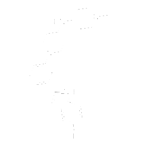 CC(C)N1CCC(NC2CCN(c3cccc(-c4cc5cc(F)ccc5[nH]4)c3)CC2)CC1